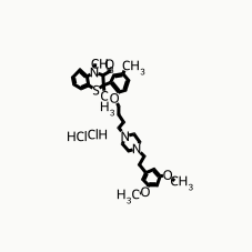 COc1cc(CCN2CCN(CCCCOc3ccc(C)cc3C3(C)Sc4ccccc4N(C)C3C=O)CC2)cc(OC)c1.Cl.Cl